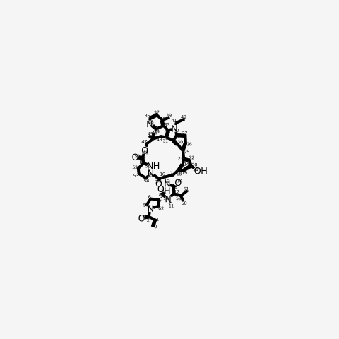 C=CC(=O)N1CC[C@H](C(=O)N(C)C(C(=O)N[C@H]2Cc3cc(O)cc(c3)-c3ccc4c(c3)c(c(-c3cnccc3C)n4CC)CC(C)(C)COC(=O)[C@@H]3CCCN(N3)C2=O)C(C)C)C1